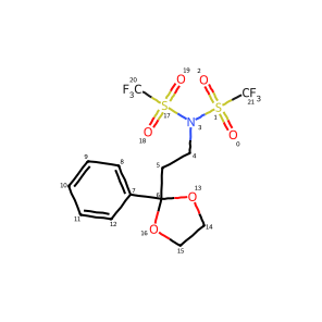 O=S(=O)(N(CCC1(c2ccccc2)OCCO1)S(=O)(=O)C(F)(F)F)C(F)(F)F